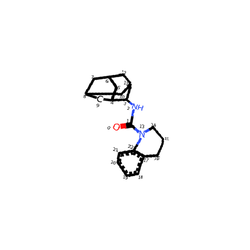 O=C(NC1C2CC3CC(C2)CC1C3)N1CCCc2ccccc21